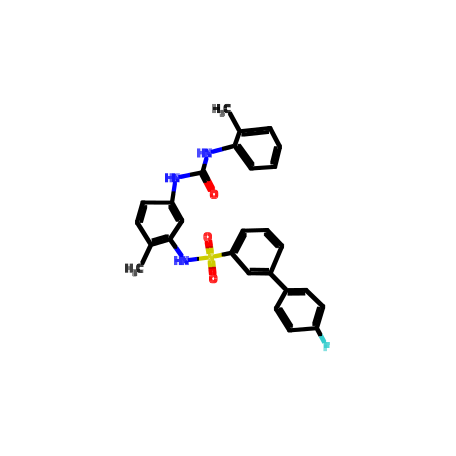 Cc1ccccc1NC(=O)Nc1ccc(C)c(NS(=O)(=O)c2cccc(-c3ccc(F)cc3)c2)c1